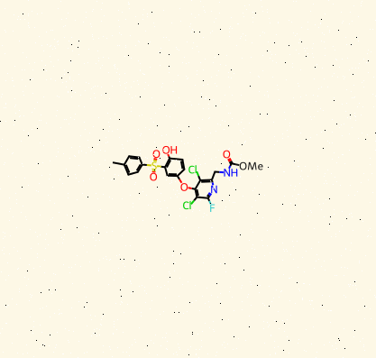 COC(=O)NCc1nc(F)c(Cl)c(Oc2ccc(O)c(S(=O)(=O)c3ccc(C)cc3)c2)c1Cl